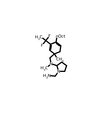 CCCCCCCCC1=CCC(C)(CN(C)C2CCCN2CN)C=C1C(C)(F)F